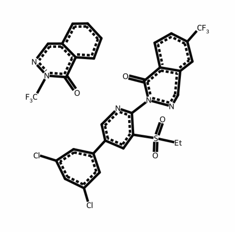 CCS(=O)(=O)c1cc(-c2cc(Cl)cc(Cl)c2)cnc1-n1ncc2cc(C(F)(F)F)ccc2c1=O.O=c1c2ccccc2cnn1C(F)(F)F